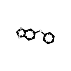 b1coc2ccc(Oc3ccccc3)cc12